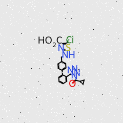 O=C(O)c1nc(NCc2ccc(-c3ccccc3-c3nnnn3C(=O)C3CC3)cc2)sc1Cl